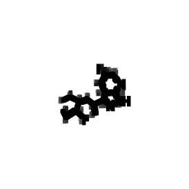 C=C(/C=C(CC)\C(F)=C/C)c1n[nH]c2ncc(F)cc12